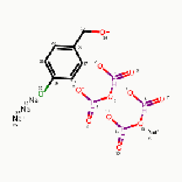 O=[PH]([O-])O[PH](=O)[O-].O=[PH]([O-])O[PH](=O)[O-].OCc1ccc(Cl)cc1.[Na+].[Na+].[Na+].[Na+]